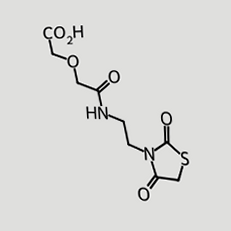 O=C(O)COCC(=O)NCCN1C(=O)CSC1=O